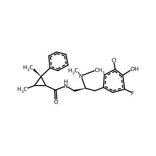 CC1C(C(=O)NC[C@H](Cc2cc(F)c(O)c(Cl)c2)N(C)C)[C@@]1(C)c1ccccc1